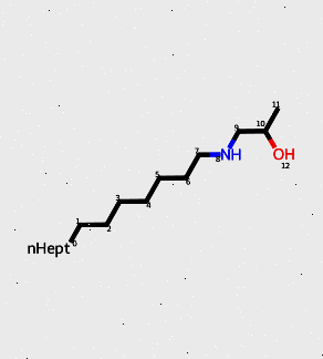 CCCCCCCCCCCCCCNCC(C)O